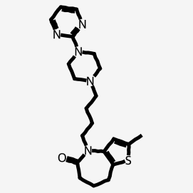 Cc1cc2c(s1)CCCC(=O)N2CCCCN1CCN(c2ncccn2)CC1